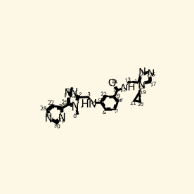 Cn1c(CNc2cccc(C(=O)NCc3nncn3C3CC3)c2)nnc1-c1ccncn1